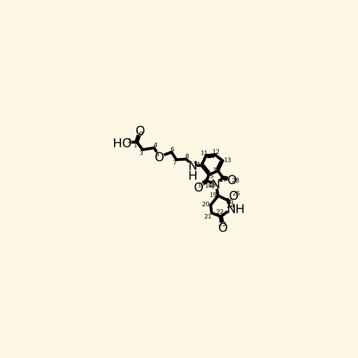 O=C(O)CCOCCCNc1cccc2c1C(=O)N(C1CCC(=O)NC1=O)C2=O